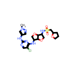 Cn1cc(Nc2ncc(Cl)c(NC3COC4C(NS(=O)(=O)CC5CCCO5)COC34)n2)cn1